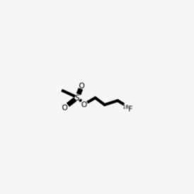 CS(=O)(=O)OCCC[18F]